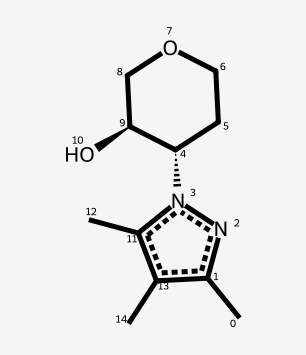 Cc1nn([C@H]2CCOC[C@@H]2O)c(C)c1C